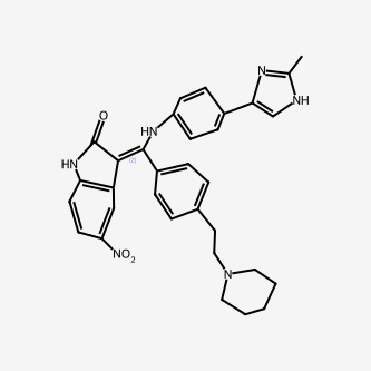 Cc1nc(-c2ccc(N/C(=C3\C(=O)Nc4ccc([N+](=O)[O-])cc43)c3ccc(CCN4CCCCC4)cc3)cc2)c[nH]1